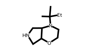 CCC(C)(C)N1CCOC2CNCC21